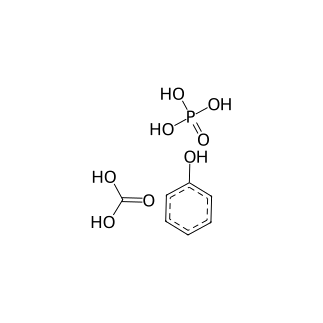 O=C(O)O.O=P(O)(O)O.Oc1ccccc1